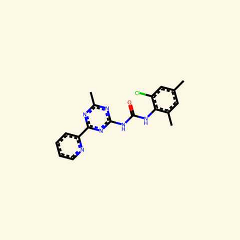 Cc1cc(C)c(NC(=O)Nc2nc(C)nc(-c3ccccn3)n2)c(Cl)c1